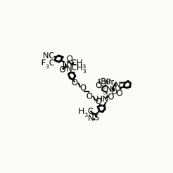 Cc1ncsc1-c1ccc(CNC(=O)[C@@H]2C[C@@H](OC(C)(C)C)CN2C(=O)[C@H](C(C)C)N2Cc3ccccc3C2=O)c(OCCOCCOCCOc2ccc(N3C(=O)N(c4ccc(C#N)c(C(F)(F)F)c4)C(=O)C3(C)C)cc2)c1